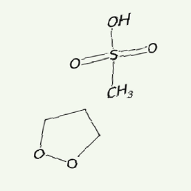 C1COOC1.CS(=O)(=O)O